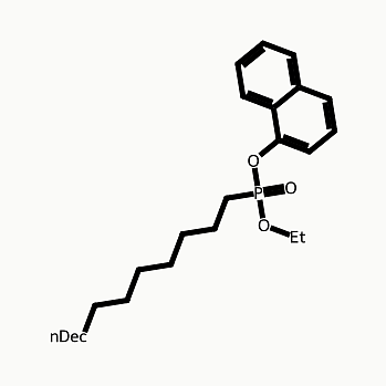 CCCCCCCCCCCCCCCCCP(=O)(OCC)Oc1cccc2ccccc12